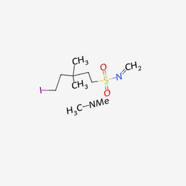 C=NS(=O)(=O)CCC(C)(C)CCI.CNC